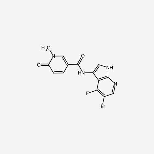 Cn1cc(C(=O)Nc2c[nH]c3ncc(Br)c(F)c23)ccc1=O